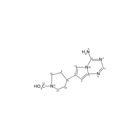 Nc1ncnc2cc(C3CCN(C(=O)O)CC3)cn12